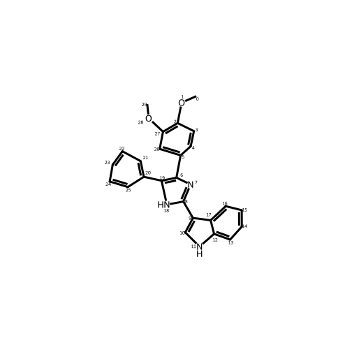 COc1ccc(-c2nc(-c3c[nH]c4ccccc34)[nH]c2-c2ccccc2)cc1OC